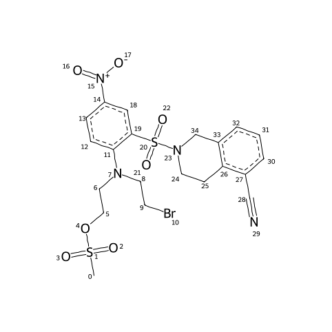 CS(=O)(=O)OCCN(CCBr)c1ccc([N+](=O)[O-])cc1S(=O)(=O)N1CCc2c(C#N)cccc2C1